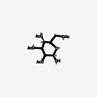 CC(=O)OCC1O[C@@H](O)C(OC(C)=O)C(OC(C)=O)[C@@H]1OC(C)=O